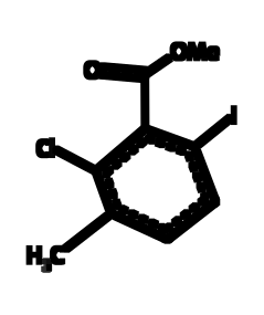 COC(=O)c1c(I)ccc(C)c1Cl